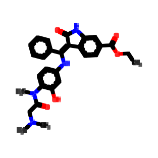 CCOC(=O)c1ccc2c(c1)NC(=O)C2=C(Nc1ccc(N(C)C(=O)CN(C)C)c(O)c1)c1ccccc1